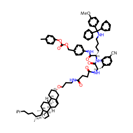 COc1ccc(C(NCCCC[C@H](NC(=O)[C@H](Cc2ccc(C#N)cc2)NC(=O)CCC(=O)NCCCO[C@H]2CC[C@@]3(C)C(=CC[C@H]4[C@@H]5CC[C@H]([C@H](C)CCCC(C)C)[C@@]5(C)CC[C@@H]43)C2)C(=O)Nc2ccc(COC(=O)Oc3ccc(C)cc3)cc2)(c2ccccc2)c2ccccc2)cc1